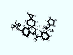 CS(=O)(=O)Nc1ccc2c(c1)C1(CCC3(CC3)CC1)CN2C(=O)c1cccc([S@](=N)(=O)C2CCCC2)c1